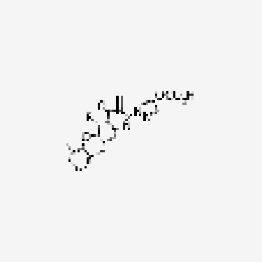 Cc1cccc(C)c1Oc1c(F)cc2nc(-n3cc(OC(=O)O)cn3)[nH]c(=O)c2c1F